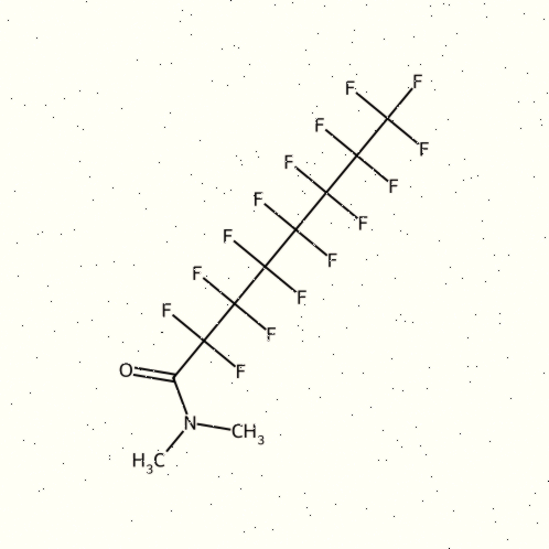 CN(C)C(=O)C(F)(F)C(F)(F)C(F)(F)C(F)(F)C(F)(F)C(F)(F)C(F)(F)F